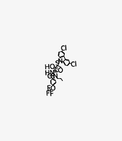 CCCN=S(=O)(N[C@H]1COCC(Sn2c3ccc(Cl)cc3c3cc(Cl)ccc32)[C@H]1O)c1ccc(OC(F)(F)F)cc1